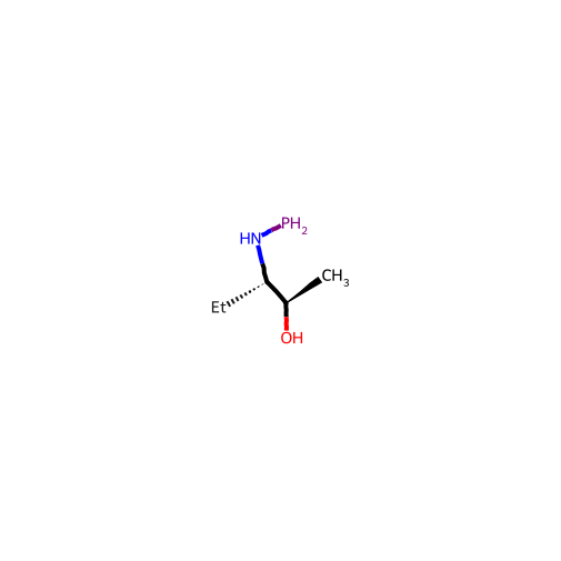 CC[C@H](NP)[C@@H](C)O